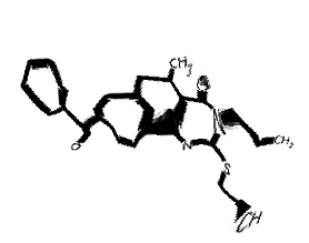 C#CCSc1nc2c(c(=O)n1CC=C)C(C)Cc1cc(C(=O)c3ccccc3)ccc1-2